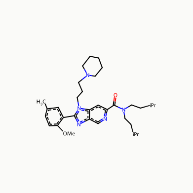 COc1ccc(C)cc1-c1nc2cnc(C(=O)N(CCC(C)C)CCC(C)C)cc2n1CCCN1CCCCC1